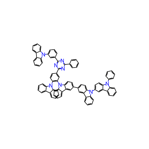 c1ccc(-c2nc(-c3cccc(-n4c5ccccc5c5ccccc54)c3)nc(-c3ccc(-n4c5ccccc5c5ccccc54)c(-n4c5ccccc5c5cc(-c6ccc7c(c6)c6ccccc6n7-c6ccc7c(c6)c6ccccc6n7-c6ccccc6)ccc54)c3)n2)cc1